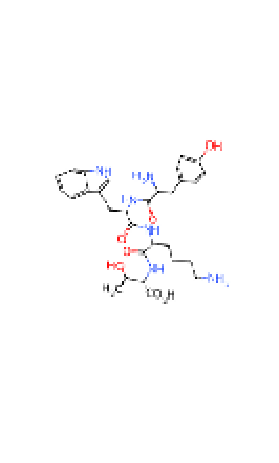 C[C@@H](O)[C@H](NC(=O)[C@H](CCCCN)NC(=O)[C@@H](Cc1c[nH]c2ccccc12)NC(=O)[C@@H](N)Cc1ccc(O)cc1)C(=O)O